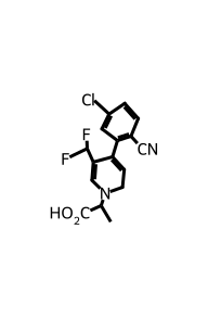 CC(C(=O)O)N1C=C(C(F)F)C(c2cc(Cl)ccc2C#N)=CC1